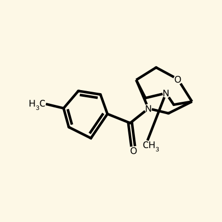 Cc1ccc(C(=O)N2CC3CN(C)CC2CO3)cc1